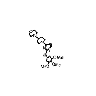 COc1cc(Nc2nccc(N3CCC(N4CCOCC4)CC3)n2)cc(OC)c1OC